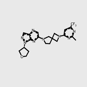 Cc1nc(N2CC3(CCN(c4cnc5cnn([C@H]6CCOC6)c5n4)C3)C2)cc(C(F)(F)F)n1